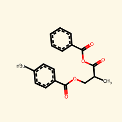 CCCCc1ccc(C(=O)OCC(C)C(=O)OC(=O)c2ccccc2)cc1